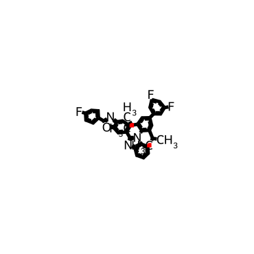 CC(C)c1cc(-c2cc(F)cc(F)c2)cc(C(C)C)c1-n1c(-c2ccc3nc(-c4ccc(F)cc4)oc3c2)nc2ccccc21